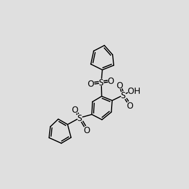 O=S(=O)(O)c1ccc(S(=O)(=O)c2ccccc2)cc1S(=O)(=O)c1ccccc1